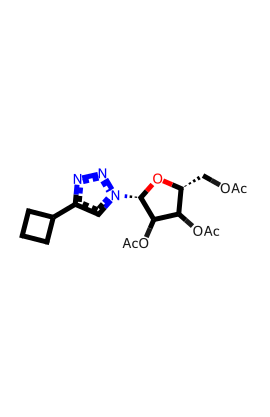 CC(=O)OC[C@H]1O[C@@H](n2cc(C3CCC3)nn2)C(OC(C)=O)C1OC(C)=O